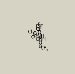 O=C(Nc1ccc(OC(F)(F)F)cc1)N[C@](Cc1ccccc1)(c1cccc(OC(F)(F)C(F)F)c1)c1ccc(Cl)cn1